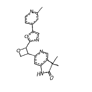 Cc1cc(-c2cnc(C3OCC3c3cc4c(cn3)C(C)(C)C(=O)N4)o2)ccn1